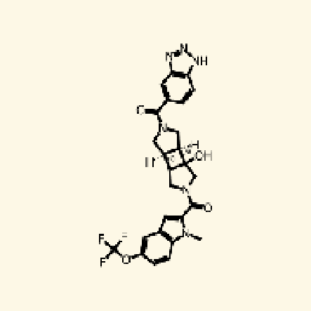 Cn1c(C(=O)N2CC3[C@H]4CN(C(=O)c5ccc6[nH]nnc6c5)C[C@H]4C3(O)C2)cc2cc(OC(F)(F)F)ccc21